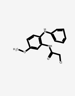 COc1ccc(Nc2ccccc2)c(NC(=O)CCl)c1